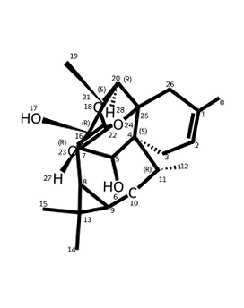 CC1=CC[C@@]23C(O)[C@H](C4C(C[C@H]2C)C4(C)C)[C@H](O)[C@H](C)[C@H]2OC(=O)OC23C1